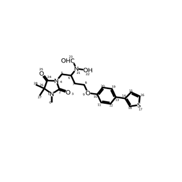 CN1C(=O)N(CC(CCOc2ccc(-c3ccsc3)cc2)N(O)C=O)C(=O)C1(C)C